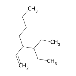 C=CC(CCCC)[C](CC)CC